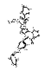 O=C(O)C(Cc1nc(C2CCCN2C(=O)Cc2ccc(COc3ccccc3)cc2)no1)NS(=O)(=O)c1ccccc1